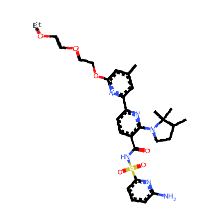 CCOCCOCCOc1cc(C)cc(-c2ccc(C(=O)NS(=O)(=O)c3cccc(N)n3)c(N3CCC(C)C3(C)C)n2)n1